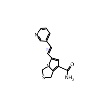 NC(=O)c1cc(/C=C/c2cccnc2)n2c1CSC2